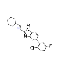 Fc1ccc(Cl)c(-c2ccc3[nH]c(/C=C/C4CCCCC4)nc3c2)c1